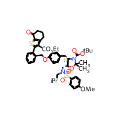 CCOC(=O)c1c(-c2ccccc2COc2ccc(C[C@H]3[C@@H](CN(CC(C)C)S(=O)(=O)c4ccc(OC)cc4)OC(C)(C)N3C(=O)OC(C)(C)C)cc2)sc2c1CCCC2=O